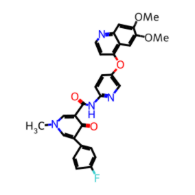 COc1cc2nccc(Oc3ccc(NC(=O)c4cn(C)cc(-c5ccc(F)cc5)c4=O)nc3)c2cc1OC